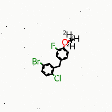 [2H]C([2H])([2H])Oc1ccc(Cc2cc(Br)ccc2Cl)cc1F